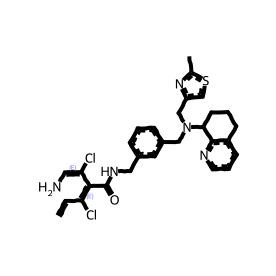 C=C/C(Cl)=C(C(=O)NCc1cccc(CN(Cc2csc(C)n2)C2CCCc3cccnc32)c1)\C(Cl)=C/N